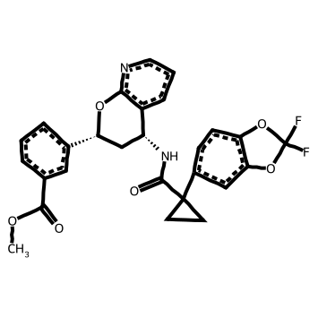 COC(=O)c1cccc([C@H]2C[C@@H](NC(=O)C3(c4ccc5c(c4)OC(F)(F)O5)CC3)c3cccnc3O2)c1